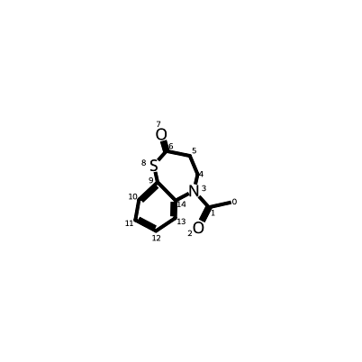 CC(=O)N1CCC(=O)Sc2ccccc21